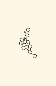 CC1(C)c2ccccc2-c2ccc(N(c3ccccc3)c3cccc4oc5c6ccccc6c(-c6cccc7c6sc6ccc(-c8ccccc8)cc67)cc5c34)cc21